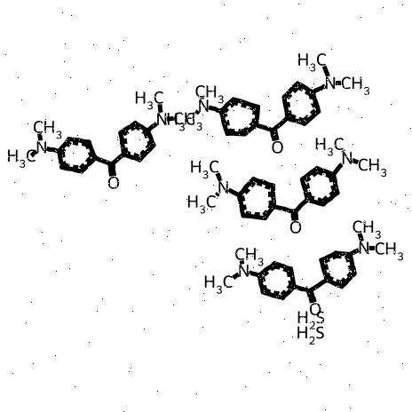 CN(C)c1ccc(C(=O)c2ccc(N(C)C)cc2)cc1.CN(C)c1ccc(C(=O)c2ccc(N(C)C)cc2)cc1.CN(C)c1ccc(C(=O)c2ccc(N(C)C)cc2)cc1.CN(C)c1ccc(C(=O)c2ccc(N(C)C)cc2)cc1.S.S